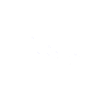 COCCCn1c(NC(=O)c2cccc(N)c2)nc2cc(C(=O)N3CCCC3)cnc21